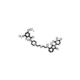 Nc1cc(OC(F)(F)F)cc(C(=O)NC2CCN(CCOCCNc3cccc4c3C(=O)N(C3CCC(=O)NC3=O)C4=O)CC2)c1F